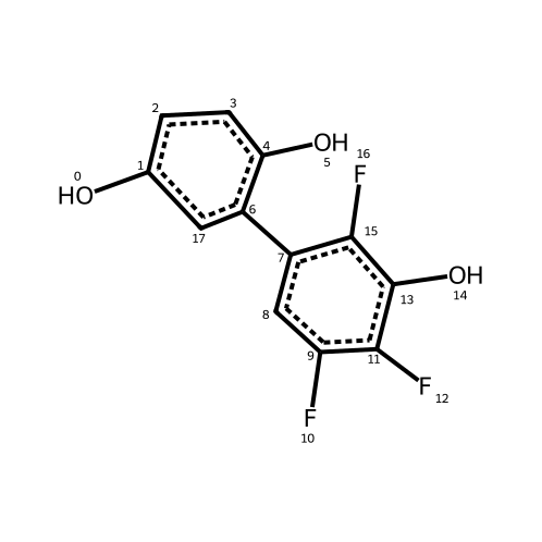 Oc1ccc(O)c(-c2cc(F)c(F)c(O)c2F)c1